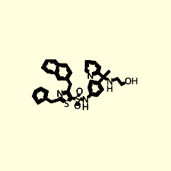 CC(NCCO)(c1ccc(NS(=O)(=O)c2sc(Cc3ccccc3)nc2Cc2ccc3ccccc3c2)cc1)c1ccccn1